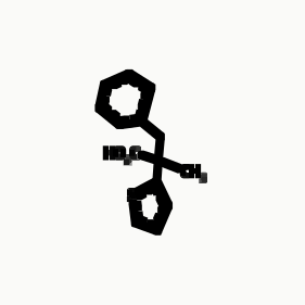 CC(Cc1ccccc1)(C(=O)O)c1cccs1